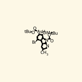 COc1c([AsH]C(=O)OC(C)(C)C)cc(Br)c2c3cc(C)cnc3n(C(=O)OC(C)(C)C)c12